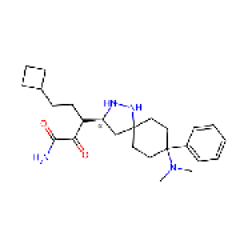 CN(C)C1(c2ccccc2)CCC2(CC1)C[C@@H](C(CCC1CCC1)C(=O)C(N)=O)NN2